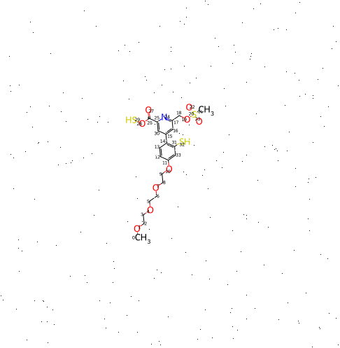 COCCOCCOCCOc1ccc(-c2cc(COS(C)(=O)=O)nc(C(=O)OS)c2)c(S)c1